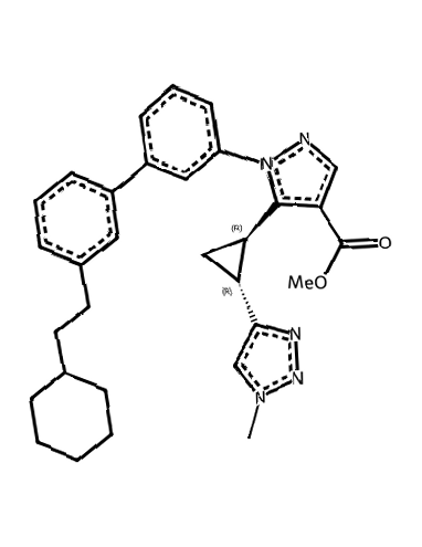 COC(=O)c1cnn(-c2cccc(-c3cccc(CCC4CCCCC4)c3)c2)c1[C@@H]1C[C@H]1c1cn(C)nn1